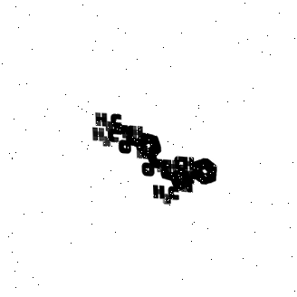 Cc1nn(-c2ccccc2)c(C)c1CNC(=O)c1cccc(C(=O)NC(C)C)n1